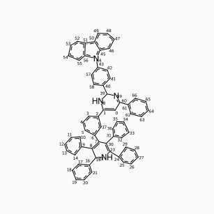 C1=C(c2cccc(C3=C(c4ccccc4)C(c4ccccc4)NC(c4ccccc4)=C3c3ccccc3)c2)NC(c2ccc(-n3c4ccccc4c4ccccc43)cc2)N=C1c1ccccc1